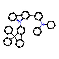 c1ccc(N(c2ccccc2)c2cccc(-c3ccc4c5ccccc5n(-c5ccc6c(c5)C(c5ccccc5)(c5ccccc5)c5ccccc5-6)c4c3)c2)cc1